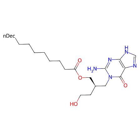 CCCCCCCCCCCCCCCCCC(=O)OC[C@H](CCO)Cn1c(N)nc2[nH]cnc2c1=O